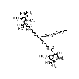 CC(=O)N[C@H]1[C@H]([C@H](OCC(=O)NCCCOCCN(CCOCCCNC(=O)CO[C@@H]([C@@H]2OC(C(=O)O)=C[C@H](NC(=N)N)[C@H]2NC(C)=O)[C@H](O)CO)CCOCCOCCOCCOCI)[C@H](O)CO)OC(C(=O)O)=C[C@@H]1NC(=N)N